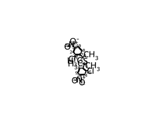 CC(C)(SC(C)(C)c1ccc([N+](=O)[O-])cc1Cl)c1ccc([N+](=O)[O-])cc1Cl